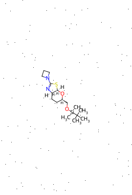 CC(C)(C)[Si](C)(C)OC[C@H]1[CH][CH][C@H]2N=C(N3CCC3)S[C@H]2O1